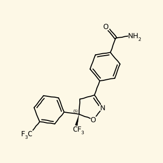 NC(=O)c1ccc(C2=NO[C@@](c3cccc(C(F)(F)F)c3)(C(F)(F)F)C2)cc1